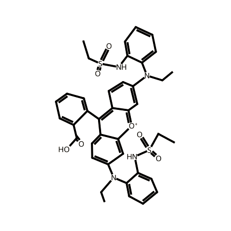 CCN(c1ccc2c(-c3ccccc3C(=O)O)c3ccc(N(CC)c4ccccc4NS(=O)(=O)CC)cc3[o+]c2c1)c1ccccc1NS(=O)(=O)CC